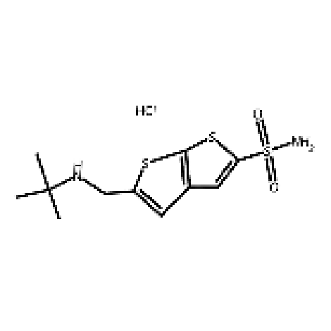 CC(C)(C)NCc1cc2cc(S(N)(=O)=O)sc2s1.Cl